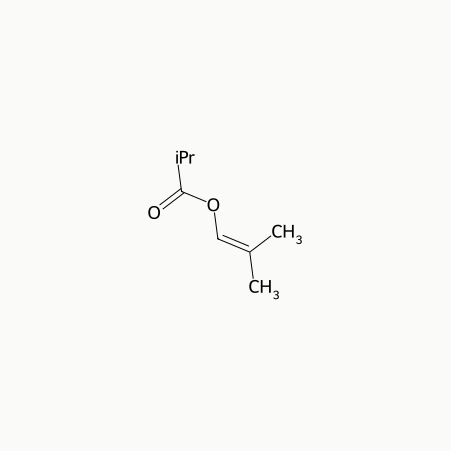 CC(C)=COC(=O)C(C)C